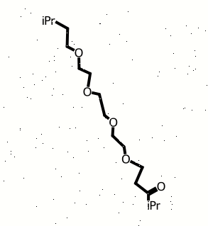 CC(C)CCOCCOCCOCCOCCC(=O)C(C)C